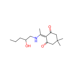 CCCC(O)CNC(C)=C1C(=O)CC(C)(C)CC1=O